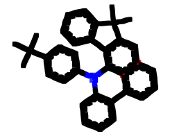 CC(C)(C)c1ccc(N(c2ccccc2-c2ccccc2)c2cccc3c2-c2ccccc2C3(C)C)cc1